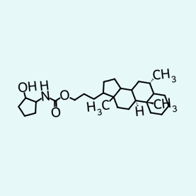 C[C@H]1CC2C3CCC(CCCOC(=O)NC4CCCC4O)C3(C)CC[C@@H]2[C@@]2(C)CCCCC12